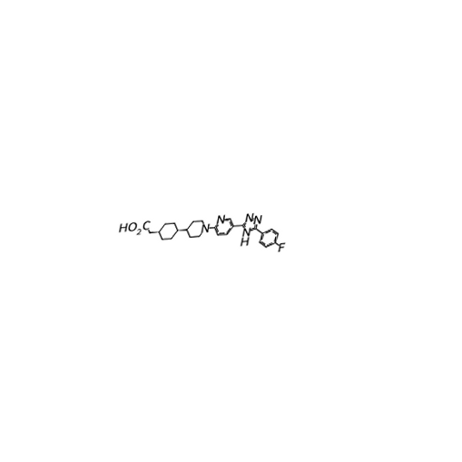 O=C(O)C[C@H]1CC[C@@H](C2CCN(c3ccc(-c4nnc(-c5ccc(F)cc5)[nH]4)cn3)CC2)CC1